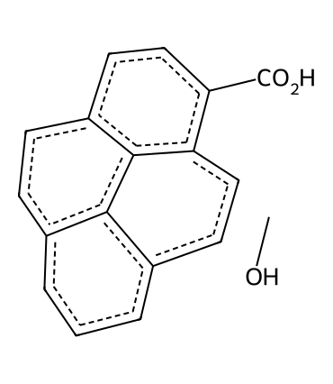 CO.O=C(O)c1ccc2ccc3cccc4ccc1c2c34